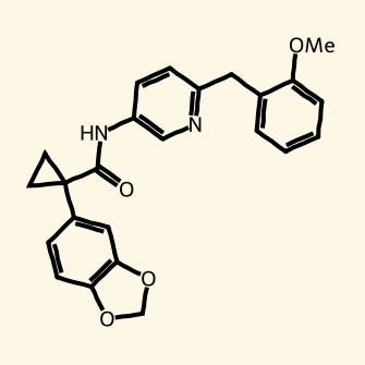 COc1ccccc1Cc1ccc(NC(=O)C2(c3ccc4c(c3)OCO4)CC2)cn1